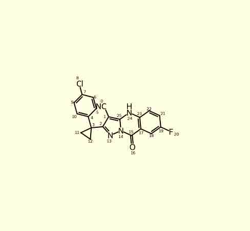 N#Cc1c(C2(c3ccc(Cl)cc3)CC2)nn2c(=O)c3cc(F)ccc3[nH]c12